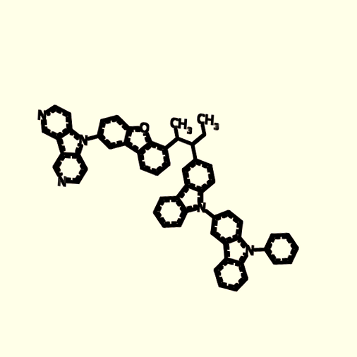 CCC(c1ccc2c(c1)c1ccccc1n2-c1ccc2c(c1)c1ccccc1n2-c1ccccc1)C(C)c1cccc2c1oc1ccc(-n3c4ccncc4c4cnccc43)cc12